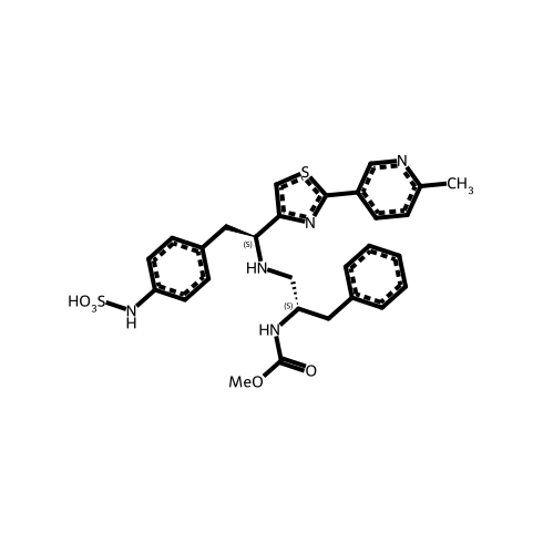 COC(=O)N[C@H](CN[C@@H](Cc1ccc(NS(=O)(=O)O)cc1)c1csc(-c2ccc(C)nc2)n1)Cc1ccccc1